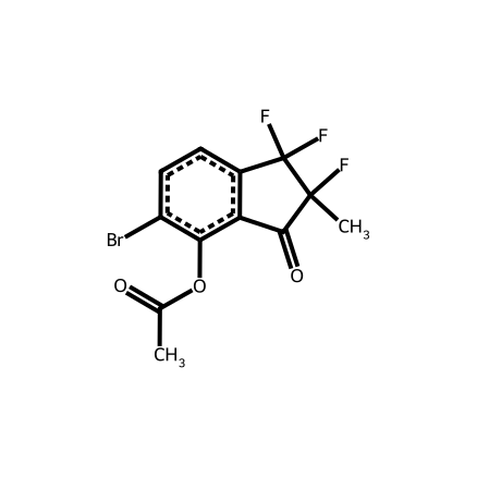 CC(=O)Oc1c(Br)ccc2c1C(=O)C(C)(F)C2(F)F